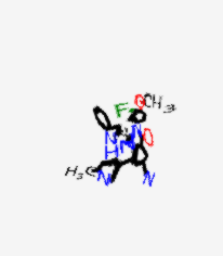 COc1ccc(-n2c([C@H]3Cc4ccccc4N3)nc3c(-c4ccc(C)nc4)cc(C#N)cc3c2=O)cc1F